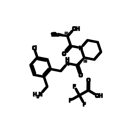 CC(C)(C)[C@@H](O)C(=O)N1CCCC[C@H]1C(=O)NCc1cc(Cl)ccc1CN.O=C(O)C(F)(F)F